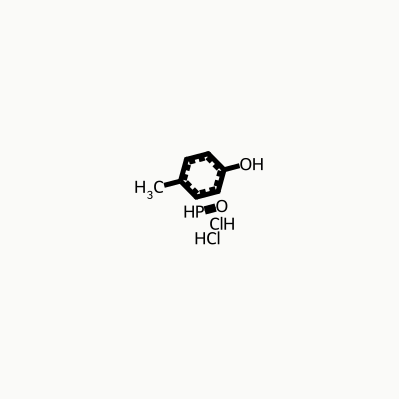 Cc1ccc(O)cc1.Cl.Cl.O=P